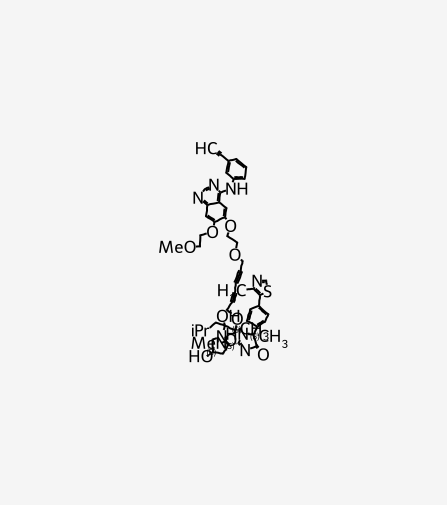 C#Cc1cccc(Nc2ncnc3cc(OCCOC)c(OCCOCC#CC#CCO[C@@](C)(ONC)C(O)(CC(C)C)N4C[C@H](O)C[C@H]4C4=NC(=O)[C@](C)(c5ccc(-c6scnc6C)cc5)N4)cc23)c1